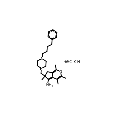 CC1=C(C)C2=C(N)C(C)(CN3CCN(CCCCc4ccccc4)CC3)CC2=C(C)O1.Cl.Cl.Cl